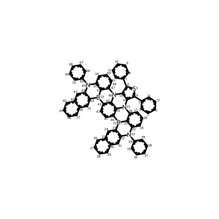 c1ccc(-c2sc(-c3ccccc3)c3c2N2c4cccc5c4B(c4cc6ccccc6cc4N5c4ccccc4)c4ccc5c(c42)N3c2cccc3c2B5c2cc4ccccc4cc2N3c2ccccc2)cc1